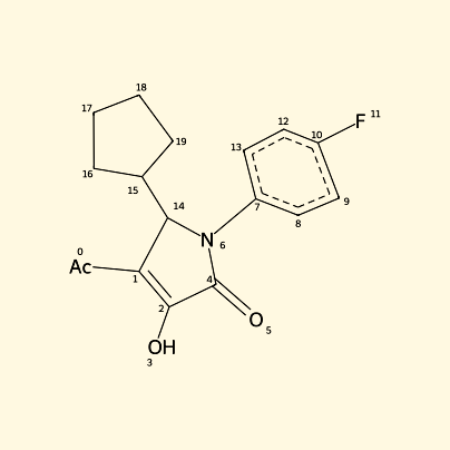 CC(=O)C1=C(O)C(=O)N(c2ccc(F)cc2)C1C1CCCC1